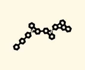 c1ccc(-c2ccc(-c3ccc(-n4c5ccccc5c5cc(-c6ccc7c(c6)c6ccccc6n7-c6ccc7c(c6)-c6cc8ccccc8c8cccc-7c68)ccc54)cc3)cc2)cc1